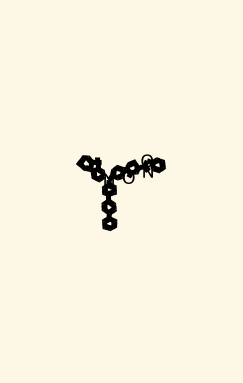 CC1(C)c2ccccc2-c2ccc(N(c3ccc(-c4ccc(-c5ccccc5)cc4)cc3)c3ccc4c(c3)oc3cc(-c5nc6ccccc6o5)ccc34)cc21